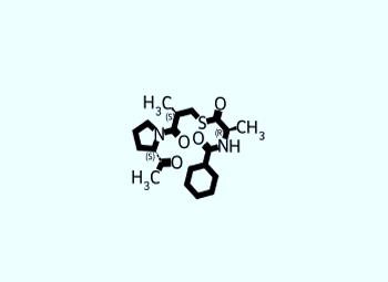 CC(=O)[C@@H]1CCCN1C(=O)[C@H](C)CSC(=O)[C@@H](C)NC(=O)C1CCCCC1